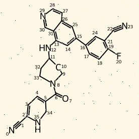 N#CC1=CC=C(C(=O)N2CCC(Nc3cc(-c4ccc(F)c(C#N)c4)cc4ccncc34)CC2)CN1